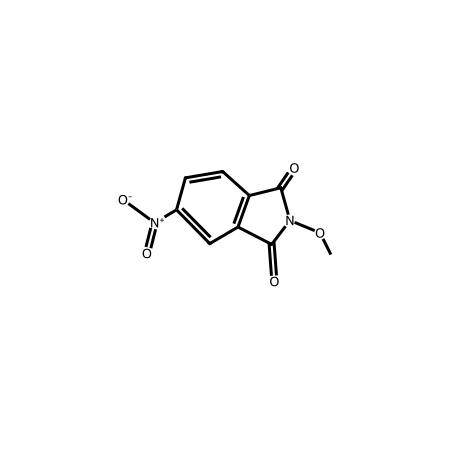 CON1C(=O)c2ccc([N+](=O)[O-])cc2C1=O